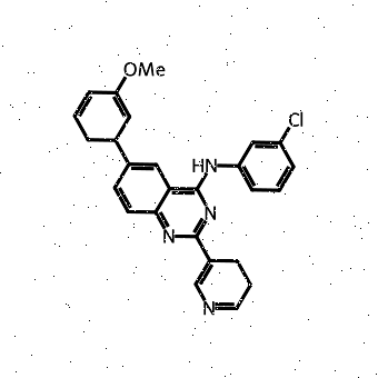 COC1=CC(c2ccc3nc(C4=CN=CCC4)nc(Nc4cccc(Cl)c4)c3c2)CC=C1